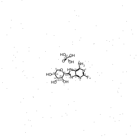 Nc1nc(F)nc2nc([C@@H]3OC[C@@H](O)[C@@H](O)[C@@H]3O)[nH]c12.O=P(O)(O)O